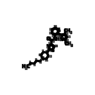 C=CCCCN1CCC(c2nc(C(=O)Nc3cccnc3-n3nc(C)cc3C)cs2)CC1